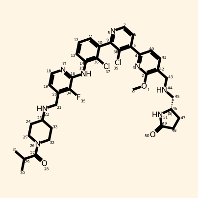 COc1nc(-c2ccnc(-c3cccc(Nc4nccc(CNC5CCN(C(=O)C(C)C)CC5)c4F)c3Cl)c2Cl)ccc1CNC[C@@H]1CCC(=O)N1